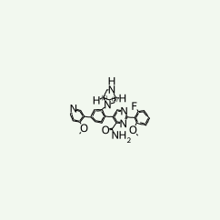 COc1ccncc1-c1ccc(-c2cnc(-c3c(F)cccc3OC)nc2C(N)=O)c(N2C[C@@H]3C[C@H]2CN3)c1